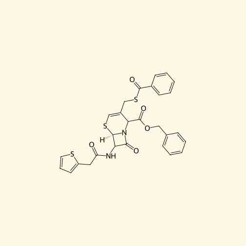 O=C(Cc1cccs1)NC1C(=O)N2C(C(=O)OCc3ccccc3)C(CSC(=O)c3ccccc3)=CS[C@H]12